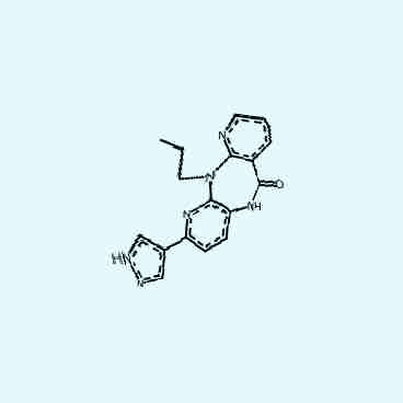 CCCN1c2nc(-c3cn[nH]c3)ccc2NC(=O)c2cccnc21